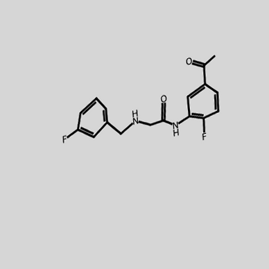 CC(=O)c1ccc(F)c(NC(=O)CNCc2cccc(F)c2)c1